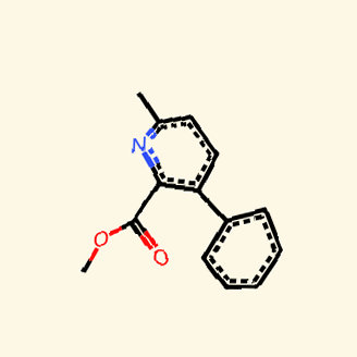 COC(=O)c1nc(C)ccc1-c1ccccc1